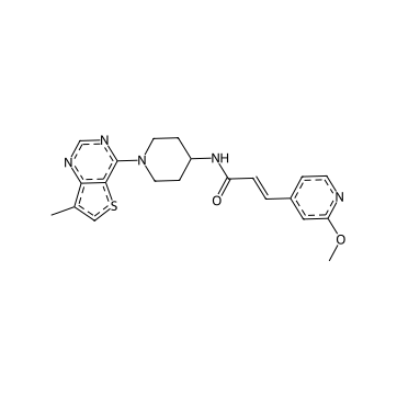 COc1cc(/C=C/C(=O)NC2CCN(c3ncnc4c(C)csc34)CC2)ccn1